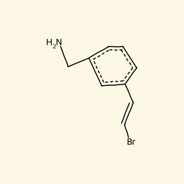 NCc1cccc(C=CBr)c1